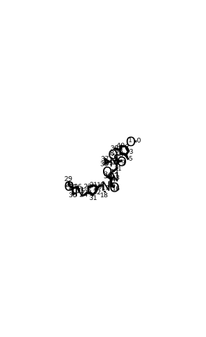 COc1cc(C)c(S(=O)(=O)N(Cc2nc(C(=O)N(C)Cc3ccc(CN4CC(OC)C4)cc3)co2)C2CC2)c(C)c1